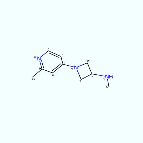 CNC1CN(c2ccnc(C)c2)C1